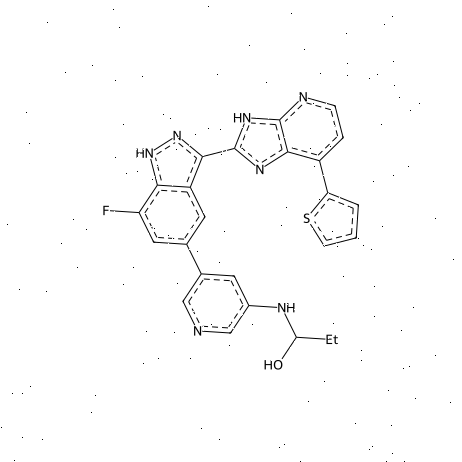 CCC(O)Nc1cncc(-c2cc(F)c3[nH]nc(-c4nc5c(-c6cccs6)ccnc5[nH]4)c3c2)c1